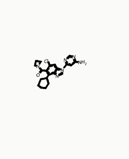 Nc1cc(-n2cnc3c(C4CCCCC4)c(C(=O)N4CCC4)c(Cl)cc32)ncn1